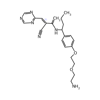 C=C(NC(CCC)c1ccc(OCCOCCN)cc1)/C(C#N)=C/c1ncncn1